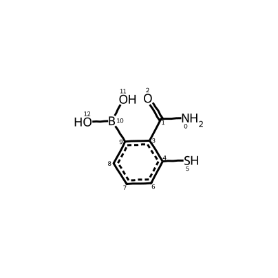 NC(=O)c1c(S)cccc1B(O)O